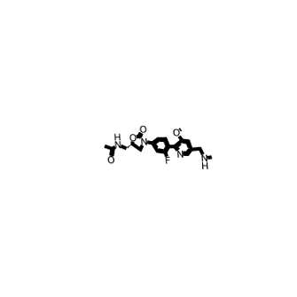 CNCc1cnc(-c2ccc(N3C[C@H](CNC(C)=O)OC3=O)cc2F)c(OC)c1